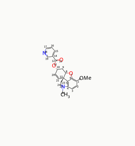 COc1ccc2c3c1OC1C[C@@H](OC(=O)c4cccnc4)C=C[C@@]31CCN2C